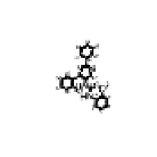 COc1ccccc1NC(=O)Nc1cnc(-c2ccccc2)nc1-c1ccccc1Cl